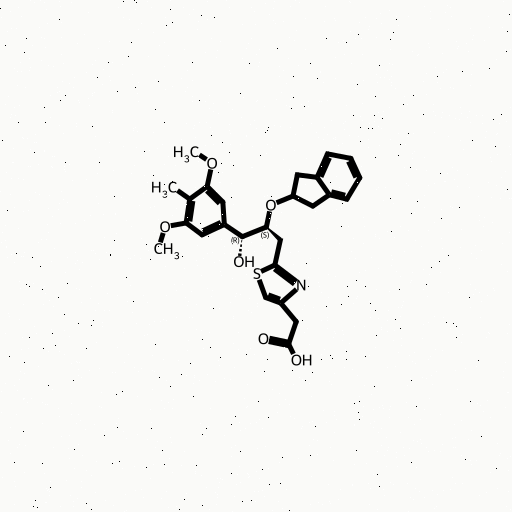 COc1cc([C@@H](O)[C@H](Cc2nc(CC(=O)O)cs2)OC2Cc3ccccc3C2)cc(OC)c1C